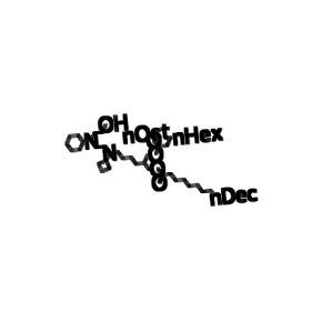 CCCCCCCCCCCCCCCCCC(=O)OCC(CCCCN(CCN(CCO)C1CCCCC1)C1CCC1)COC(=O)CC(CCCCCC)CCCCCCCC